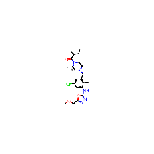 CCC(C)C(=O)N1CCN(Cc2cc(Cl)cc(Nc3nnc(COC)o3)c2C)C[C@@H]1C